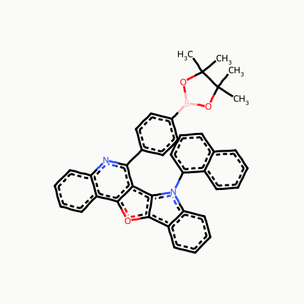 CC1(C)OB(c2ccc(-c3nc4ccccc4c4oc5c6ccccc6n(-c6cccc7ccccc67)c5c34)cc2)OC1(C)C